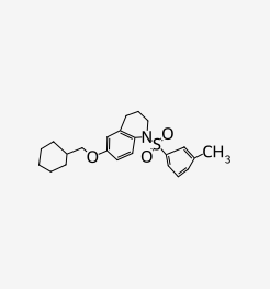 Cc1cccc(S(=O)(=O)N2CCCc3cc(OCC4CCCCC4)ccc32)c1